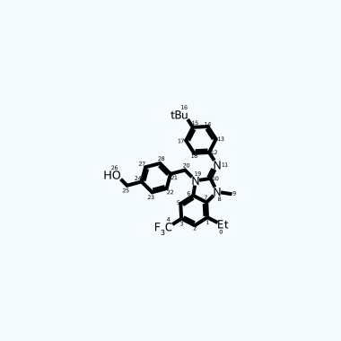 CCc1cc(C(F)(F)F)cc2c1n(C)/c(=N/c1ccc(C(C)(C)C)cc1)n2Cc1ccc(CO)cc1